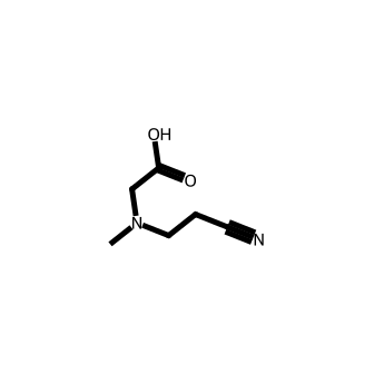 CN(CCC#N)CC(=O)O